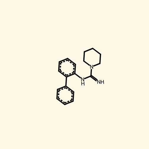 N=C(Nc1ccccc1-c1ccccc1)N1CCCCC1